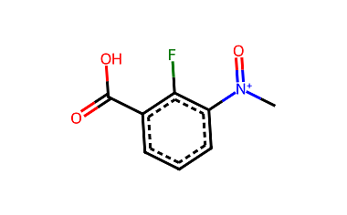 C[N+](=O)c1cccc(C(=O)O)c1F